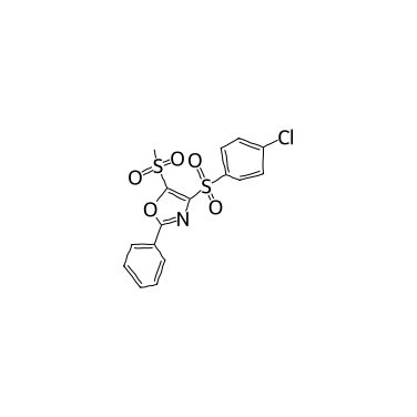 CS(=O)(=O)c1oc(-c2ccccc2)nc1S(=O)(=O)c1ccc(Cl)cc1